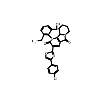 CCc1cccc(CC)c1-n1c2c(cc(-c3nc(-c4ccc(Cl)cc4)cs3)c1=O)C(=O)N1CCCCC21